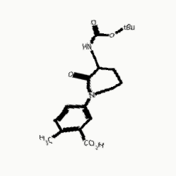 Cc1ccc(N2CCCC(NC(=O)OC(C)(C)C)C2=O)cc1C(=O)O